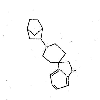 c1ccc2c(c1)NCC21CCN(C2CC3CCC2C3)CC1